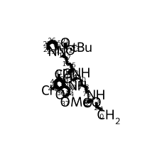 C=CCOC(=O)NCCCC[C@H](NC(=O)CCCCN(C(=O)OC(C)(C)C)c1ccccn1)C(=O)NC(CC(=O)OC)c1cc(Cl)cc(Cl)c1